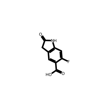 O=C1Cc2cc(C(=O)O)c(F)cc2N1